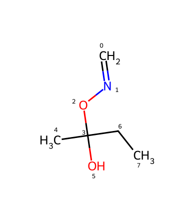 C=NOC(C)(O)CC